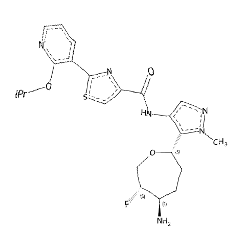 CC(C)Oc1ncccc1-c1nc(C(=O)Nc2cnn(C)c2[C@@H]2CC[C@@H](N)[C@H](F)CO2)cs1